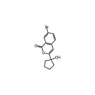 O=c1oc(C2(O)CCCC2)cc2ccc(Br)cc12